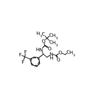 CCOC(=O)NCC(NC(=O)OC(C)(C)C)c1cccc(C(F)(F)F)c1